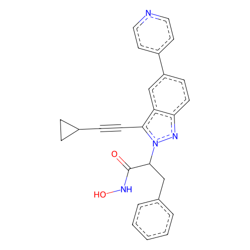 O=C(NO)C(Cc1ccccc1)n1nc2ccc(-c3ccncc3)cc2c1C#CC1CC1